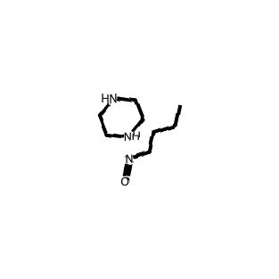 C1CNCCN1.CCCCN=O